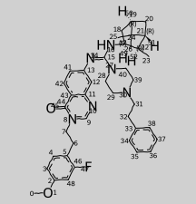 COc1ccc(CCn2cnc3cc(N=C(N[C@H]4C[C@H]5C[C@H]([C@H]4C)C5(C)C)N4CCN(CCc5ccccc5)CC4)ccc3c2=O)c(F)c1